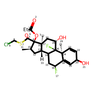 CCC(=O)O[C@]1(C(=O)SCCl)[C@H](C)C[C@H]2C3C[C@H](F)C4=CC(O)C=C[C@]4(C)[C@@]3(F)[C@@H](O)C[C@@]21C